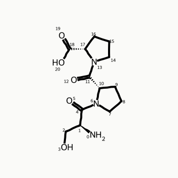 N[C@@H](CO)C(=O)N1CCC[C@H]1C(=O)N1CCC[C@H]1C(=O)O